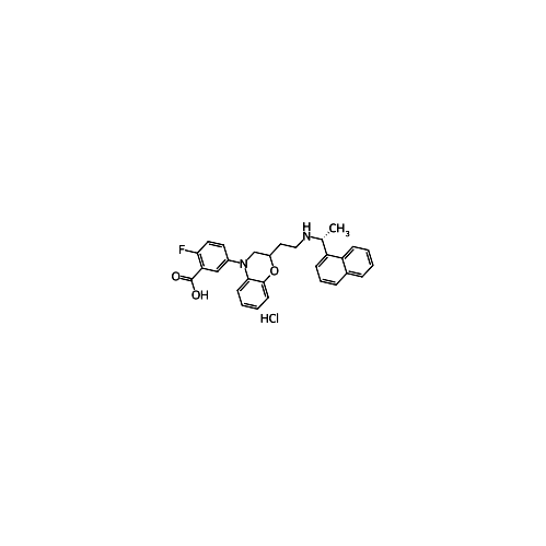 C[C@@H](NCCC1CN(c2ccc(F)c(C(=O)O)c2)c2ccccc2O1)c1cccc2ccccc12.Cl